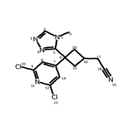 Cn1cnnc1C1(c2cc(Cl)nc(Cl)c2)CC(CC#N)C1